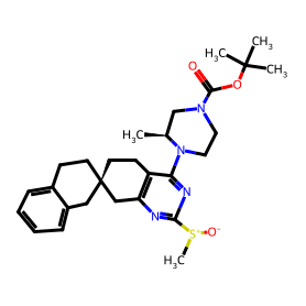 C[C@H]1CN(C(=O)OC(C)(C)C)CCN1c1nc([S+](C)[O-])nc2c1CC[C@@]1(CCc3ccccc3C1)C2